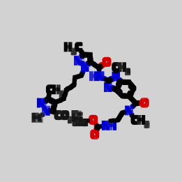 CCOC(=O)c1c(CCCCCn2nc(C)cc2C(=O)Nc2nc3cc(C(=O)N(C)CCCNC(=O)OC(C)(C)C)ccc3n2C)c(C)nn1CC